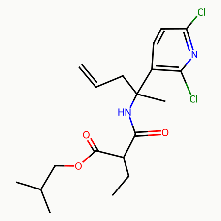 C=CCC(C)(NC(=O)C(CC)C(=O)OCC(C)C)c1ccc(Cl)nc1Cl